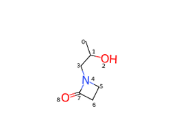 CC(O)CN1CCC1=O